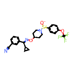 N#Cc1cccc(C(=NOC2CCN([S+]([O-])c3ccc(OC(F)(F)F)cc3)CC2)C2CC2)c1